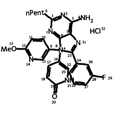 CCCCCc1nc(N)c2c(n1)[N+](c1ccc(OC)nc1)(c1ccc(=O)[nH]c1)C(c1cccc(F)c1)=N2.Cl